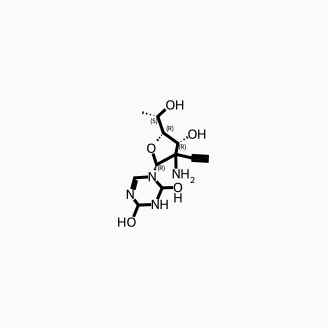 C#CC1(N)[C@@H](O)[C@@H]([C@H](C)O)O[C@H]1N1C=NC(O)NC1O